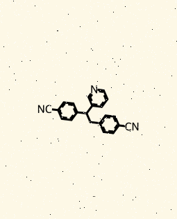 N#Cc1ccc(CC(c2ccc(C#N)cc2)c2cccnc2)cc1